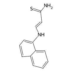 NC(=S)C=CNc1cccc2ccccc12